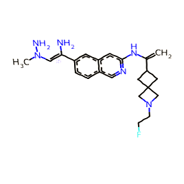 C=C(Nc1cc2cc(/C(N)=C/N(C)N)ccc2cn1)C1CC2(C1)CN(CCF)C2